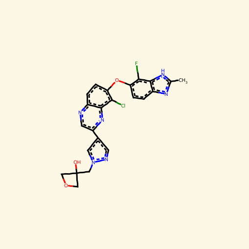 Cc1nc2ccc(Oc3ccc4ncc(-c5cnn(CC6(O)COC6)c5)nc4c3Cl)c(F)c2[nH]1